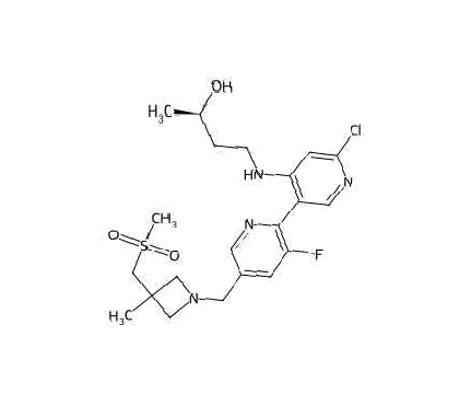 C[C@@H](O)CCNc1cc(Cl)ncc1-c1ncc(CN2CC(C)(CS(C)(=O)=O)C2)cc1F